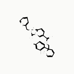 O=C(NCC1(c2ccc(F)cc2)C=CC=CN1)c1ccc2nn(Cc3ccccn3)c(=O)n2c1